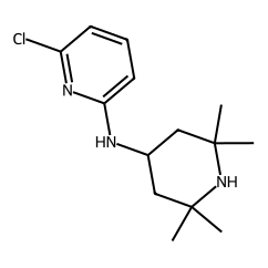 CC1(C)CC(Nc2cccc(Cl)n2)CC(C)(C)N1